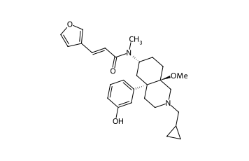 CO[C@]12CC[C@@H](N(C)C(=O)/C=C/c3ccoc3)C[C@]1(c1cccc(O)c1)CCN(CC1CC1)C2